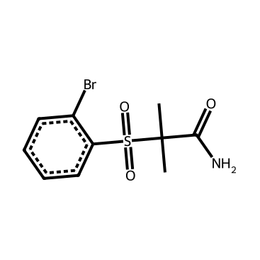 CC(C)(C(N)=O)S(=O)(=O)c1ccccc1Br